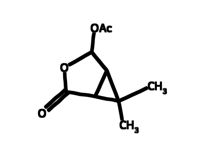 CC(=O)OC1OC(=O)C2C1C2(C)C